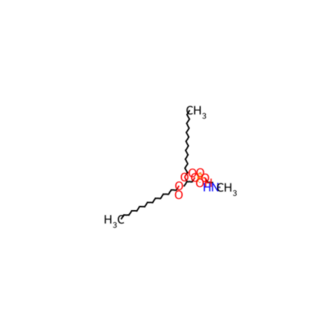 CCCCCCCCCCCCCCC(=O)OCC(COP(=O)(O)OCCNC)OC(=O)CCCCCCCCCCCCCC